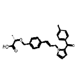 Cc1ccc(C(=O)c2cccn2CC=Cc2ccc(CO[C@@H](C)C(=O)O)cc2)cc1